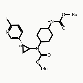 CC(C)(C)OC(=O)NC1CCC(N(C(=O)OC(C)(C)C)C2C[C@@H]2c2ccc(I)nc2)CC1